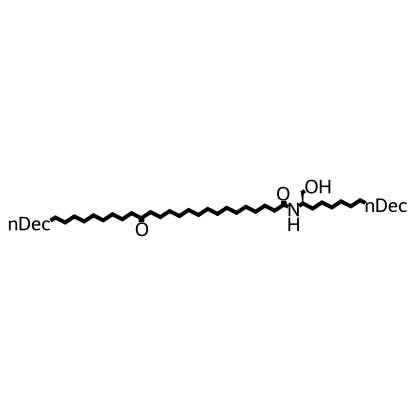 CCCCCCCCCCCCCCCCCCCC(=O)CCCCCCCCCCCCCCC(=O)N[C@@H](CO)CCCCCCCCCCCCCCCC